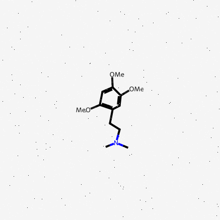 COc1cc(OC)c(OC)cc1CCN(C)C